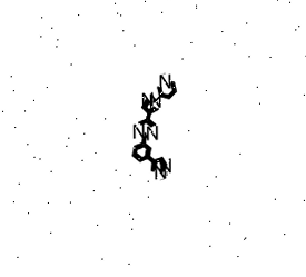 CN1CCC[C@@H](n2cc(-c3cnc(-c4cccc(-c5cnn(C)c5)c4)nc3)cn2)C1